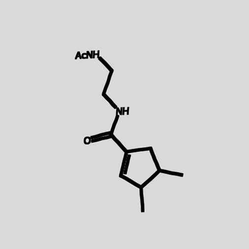 CC(=O)NCCNC(=O)C1=CC(C)C(C)C1